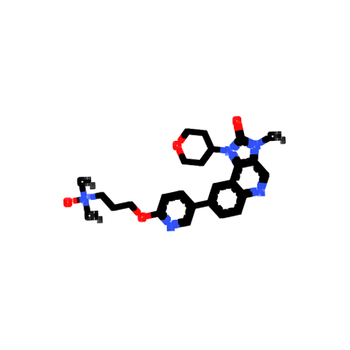 Cn1c(=O)n(C2CCOCC2)c2c3cc(-c4ccc(OCCC[N+](C)(C)[O-])nc4)ccc3ncc21